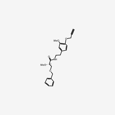 C#CCOc1ccc(CCNC(=O)[C@H](COCc2ccccc2)OC)cc1OC